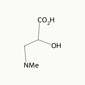 CNCC(O)C(=O)O